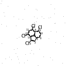 ClC1=Cc2ccc(Cl)c3c(Cl)cc(Cl)c1c23